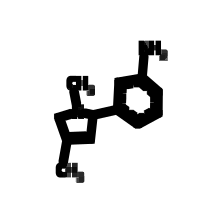 CC1=CC(c2cccc(N)c2)N(C)C1